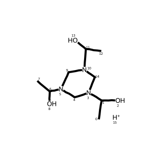 CC(O)N1CN(C(C)O)CN(C(C)O)C1.[H+]